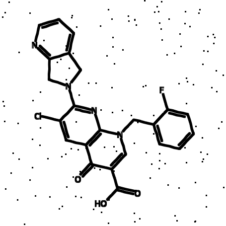 O=C(O)c1cn(Cc2ccccc2F)c2nc(N3Cc4cccnc4C3)c(Cl)cc2c1=O